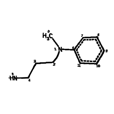 CN(CCC[NH])c1ccccc1